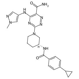 Cn1cc(Nc2nc(N3CCC[C@@H](NC(=O)c4ccc(C5CC5)cc4)C3)nnc2C(N)=O)cn1